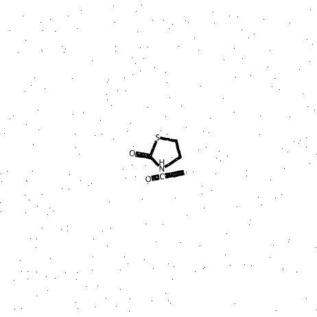 O=C1NCCS1.[C]=C=O